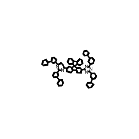 C1=CC(c2ccccc2)=CC(c2nc(-c3cccc(-c4ccccc4)c3)nc(-c3ccc4c(c3)C3(c5ccccc5-c5ccccc53)c3cc(C5=NC(c6cccc(-c7ccccc7)c6)=NC(c6cccc(-c7ccccc7)c6)=CC5)ccc3-4)n2)C1